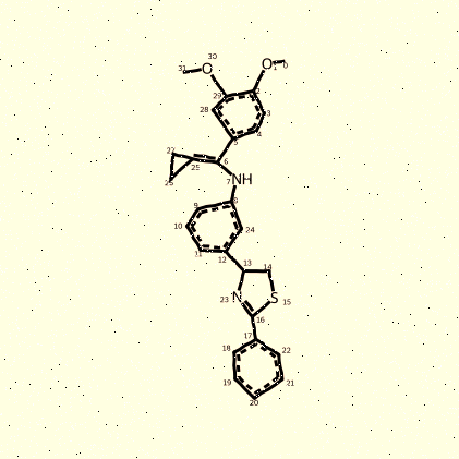 COc1ccc(C(Nc2cccc(C3CSC(c4ccccc4)=N3)c2)=C2CC2)cc1OC